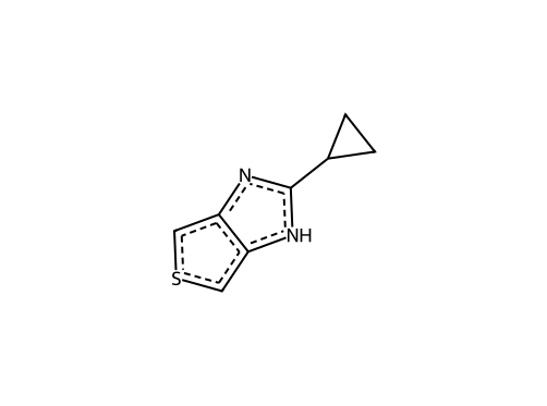 c1scc2[nH]c(C3CC3)nc12